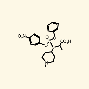 CC(C(=O)O)N(C1CCN(C)CC1)P(=O)(Oc1ccccc1)Oc1ccc([N+](=O)[O-])cc1